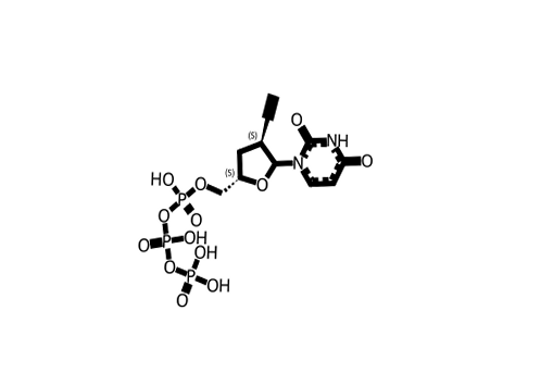 C#C[C@@H]1C[C@@H](COP(=O)(O)OP(=O)(O)OP(=O)(O)O)OC1n1ccc(=O)[nH]c1=O